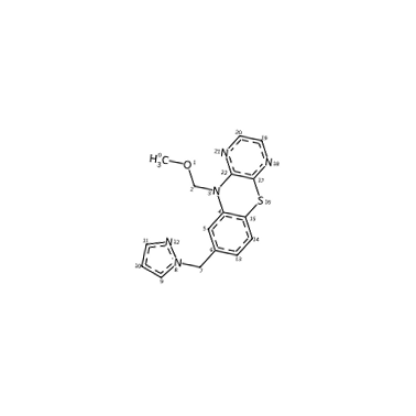 COCN1c2cc(Cn3cccn3)ccc2Sc2nccnc21